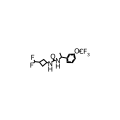 CC(NC(=O)NC1CC(C(F)F)C1)c1cccc(OC(F)(F)F)c1